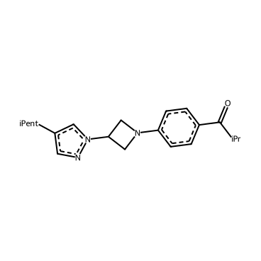 CCCC(C)c1cnn(C2CN(c3ccc(C(=O)C(C)C)cc3)C2)c1